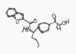 CCCC(NC(=O)c1cc2ccccc2o1)c1ccc(C(=O)NO)cc1